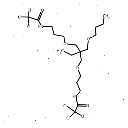 CCCCOCC(CC)(COCCCNC(=O)C(Cl)(Cl)Cl)COCCCNC(=O)C(Cl)(Cl)Cl